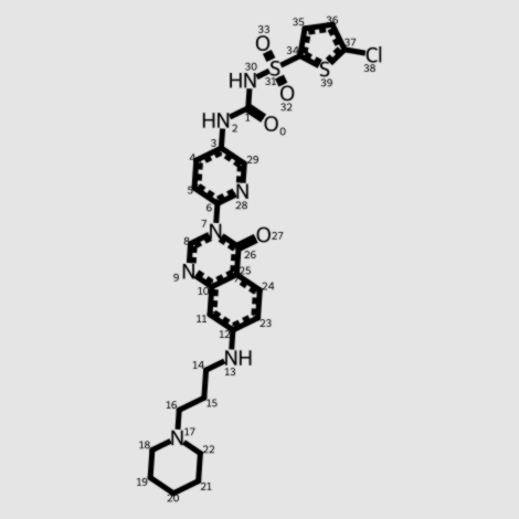 O=C(Nc1ccc(-n2cnc3cc(NCCCN4CCCCC4)ccc3c2=O)nc1)NS(=O)(=O)c1ccc(Cl)s1